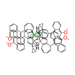 COc1c2ccccc2c(C2C=CC=CC3=C2C=C(C2CC2)[C]32[SiH](C)[C]3(C(C4CC4)=CC4=C3C=CC=CC4c3c4ccccc4c(OC)c4ccccc34)[Zr]23([Cl])([Cl])[C]2(C(C4CC4)=CC4=C2C=CC=CC4c2c4ccccc4c(OC)c4ccccc24)[SiH](C)[C]32C(C3CC3)=CC3=C2C=CC=CC3c2c3ccccc3c(OC)c3ccccc23)c2ccccc12